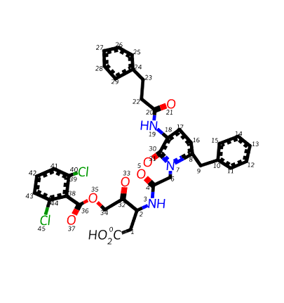 O=C(O)CC(NC(=O)Cn1c(Cc2ccccc2)ccc(NC(=O)CCc2ccccc2)c1=O)C(=O)COC(=O)c1c(Cl)cccc1Cl